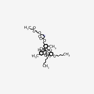 C=CC(=O)OCCOC(=O)/C=C\C(=O)OCc1cc(C)c(C(=O)P(=O)(C(=O)c2c(C)cc(C)cc2C)c2ccc(OCCCCC)cc2OCCCCC)c(C)c1